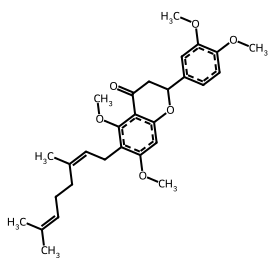 COc1ccc(C2CC(=O)c3c(cc(OC)c(CC=C(C)CCC=C(C)C)c3OC)O2)cc1OC